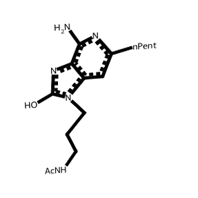 CCCCCc1cc2c(nc(O)n2CCCNC(C)=O)c(N)n1